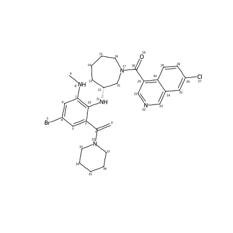 C=C(c1cc(Br)cc(NC)c1N[C@@H]1CCCCN(C(=O)c2cncc3cc(Cl)ccc23)C1)N1CCCCC1